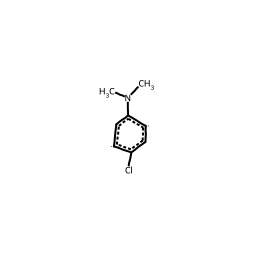 CN(C)c1[c]cc(Cl)[c]c1